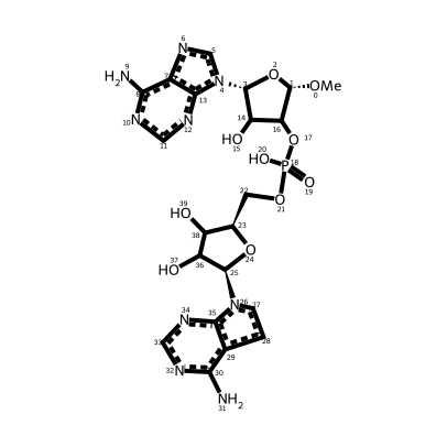 CO[C@H]1O[C@@H](n2cnc3c(N)ncnc32)C(O)C1OP(=O)(O)OC[C@H]1O[C@@H](n2ccc3c(N)ncnc32)C(O)C1O